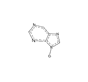 [O]n1cnc2cncnc21